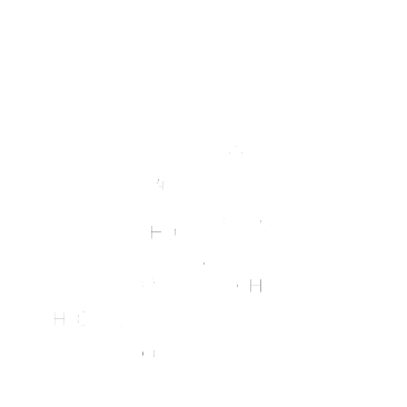 CC(=O)OCC(C)(C)C(=O)C(Br)Oc1ccccc1-c1ccccc1